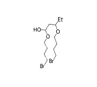 CCC(CC(O)OCCCCBr)OCCCCBr